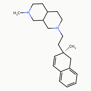 CN1CCC2CCN(CC[C@]3(C)C=Cc4ccccc4C3)CC2C1